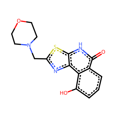 O=c1[nH]c2sc(CN3CCOCC3)nc2c2c(O)cccc12